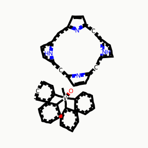 C1=Cc2cc3ccc(cc4nc(cc5ccc(cc1n2)[nH]5)C=C4)[nH]3.[CH3][V](=[O])([c]1ccccc1)([c]1ccccc1)([c]1ccccc1)[c]1ccccc1